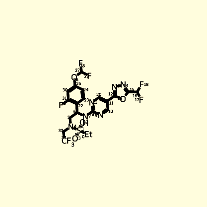 CCS(=O)(=O)N(CC(Nc1ncc(-c2nnc(C(F)F)o2)cn1)c1ccc(OC(F)F)cc1F)CC(F)(F)F